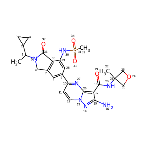 CC(C1CC1)N1Cc2cc(-c3ccn4nc(N)c(C(=O)NC5(C)COC5)c4n3)cc(NS(C)(=O)=O)c2C1=O